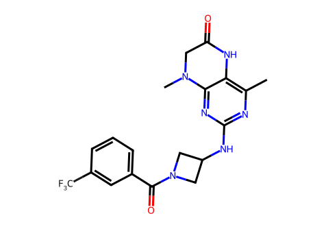 Cc1nc(NC2CN(C(=O)c3cccc(C(F)(F)F)c3)C2)nc2c1NC(=O)CN2C